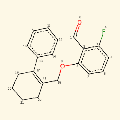 O=Cc1c(F)cccc1OCC1=C(c2ccccc2)CCCC1